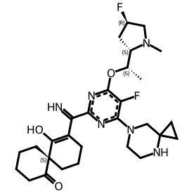 C[C@H](Oc1nc(C(=N)C2=C(O)[C@]3(CCCCC3=O)CCC2)nc(N2CCNC3(CC3)C2)c1F)[C@@H]1C[C@@H](F)CN1C